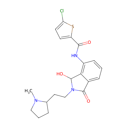 CN1CCCC1CCN1C(=O)c2cccc(NC(=O)c3ccc(Cl)s3)c2C1O